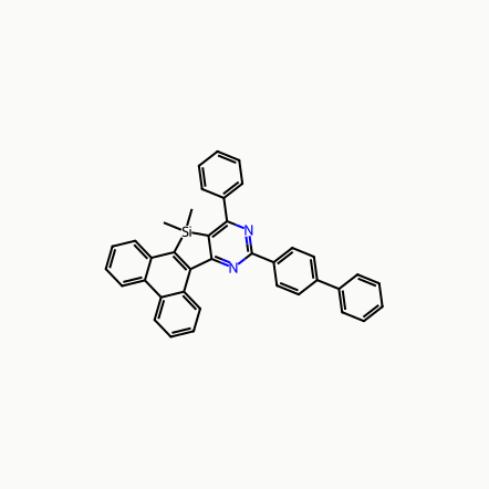 C[Si]1(C)c2c(-c3ccccc3)nc(-c3ccc(-c4ccccc4)cc3)nc2-c2c1c1ccccc1c1ccccc21